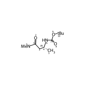 CNC(=O)C[C@@H](C)NC(=O)OC(C)(C)C